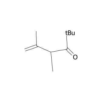 C=C(C)C(C)C(=O)C(C)(C)C